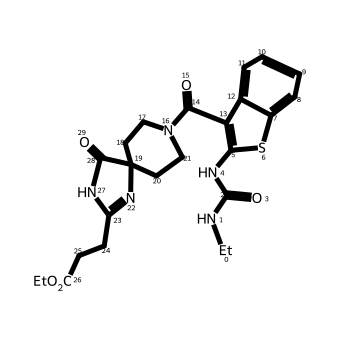 CCNC(=O)Nc1sc2ccccc2c1C(=O)N1CCC2(CC1)N=C(CCC(=O)OCC)NC2=O